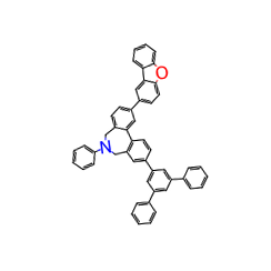 c1ccc(-c2cc(-c3ccccc3)cc(-c3ccc4c(c3)CN(c3ccccc3)Cc3ccc(-c5ccc6oc7ccccc7c6c5)cc3-4)c2)cc1